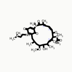 COC1/C=C\C=C(/C)C(=O)N(C)C2=CC(=O)C(NCCN(C)C)=C(CC(C)CC(OC)C(O)C(C)/C=C(\C)C1OC(N)=O)C2=O